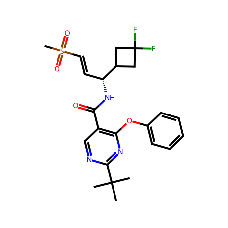 CC(C)(C)c1ncc(C(=O)N[C@H](/C=C/S(C)(=O)=O)C2CC(F)(F)C2)c(Oc2ccccc2)n1